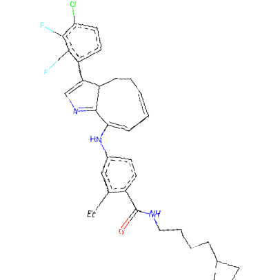 CCc1cc(N/C2=C/C=C\CCC3C(c4ccc(Cl)c(F)c4F)=CN=C23)ccc1C(=O)NCCCCC1CCC1